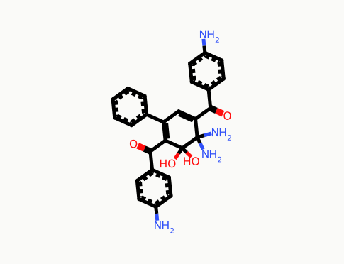 Nc1ccc(C(=O)C2=CC(c3ccccc3)=C(C(=O)c3ccc(N)cc3)C(O)(O)C2(N)N)cc1